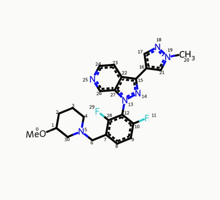 COC1CCCN(Cc2ccc(F)c(-n3nc(-c4cnn(C)c4)c4ccncc43)c2F)C1